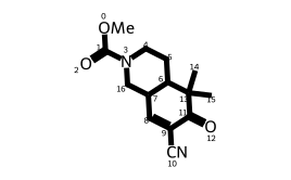 COC(=O)N1CCC2C(C=C(C#N)C(=O)C2(C)C)C1